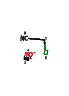 N#CCCl.[Na+].[OH-]